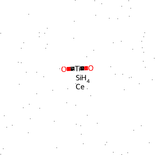 [Ce].[O]=[Ti]=[O].[SiH4]